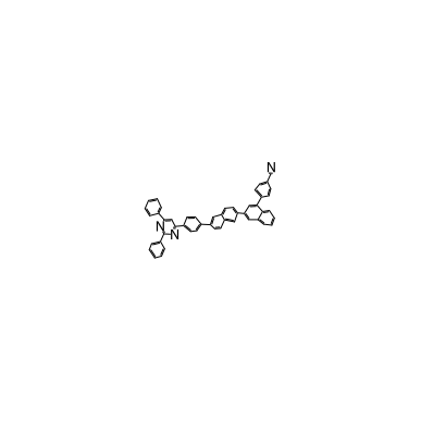 N#Cc1ccc(-c2cc(-c3ccc4cc(-c5ccc(-c6cc(-c7ccccc7)nc(-c7ccccc7)n6)cc5)ccc4c3)cc3ccccc23)cc1